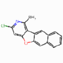 Bc1nc(Cl)cc2oc3cc4ccccc4cc3c12